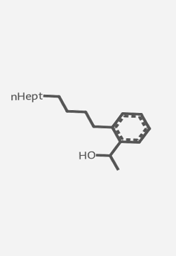 CCCCCCCCCCCc1ccccc1C(C)O